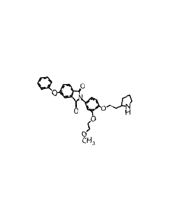 COCCOc1cc(N2C(=O)c3ccc(Oc4ccccc4)cc3C2=O)ccc1OCCC1CCCN1